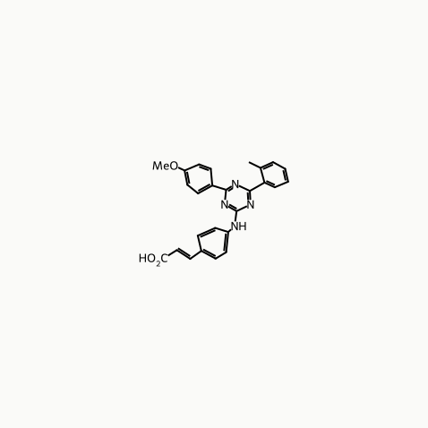 COc1ccc(-c2nc(Nc3ccc(C=CC(=O)O)cc3)nc(-c3ccccc3C)n2)cc1